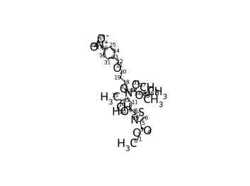 CCOC(=O)c1csc(C(O)CC(C(C)C)N(OCCCOCc2ccc([N+](=O)[O-])cc2)C(=O)OC(C)(C)C)n1